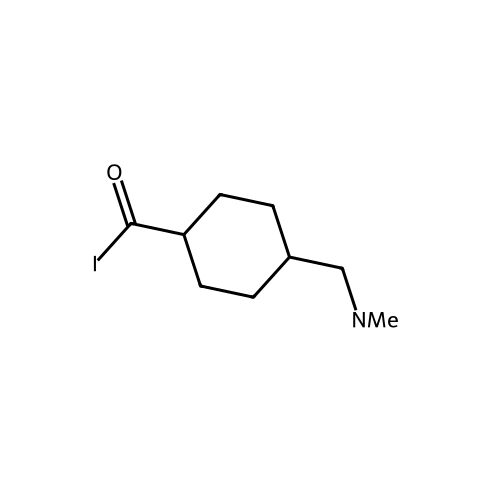 CNCC1CCC(C(=O)I)CC1